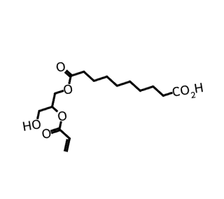 C=CC(=O)OC(CO)COC(=O)CCCCCCCCC(=O)O